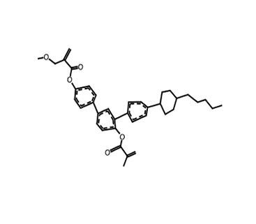 C=C(C)C(=O)Oc1ccc(-c2ccc(OC(=O)C(=C)COC)cc2)cc1-c1ccc(C2CCC(CCCCC)CC2)cc1